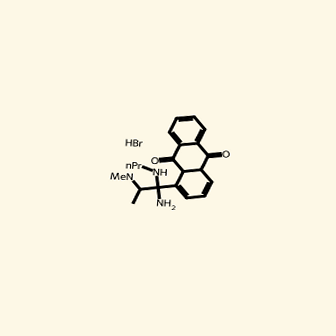 Br.CCCNC(N)(C1=CC=CC2C(=O)c3ccccc3C(=O)C12)C(C)NC